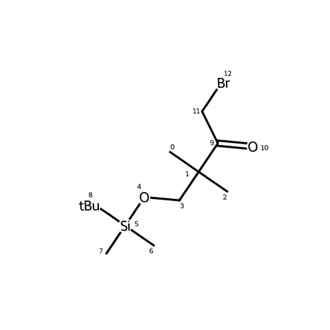 CC(C)(CO[Si](C)(C)C(C)(C)C)C(=O)CBr